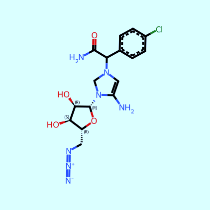 [N-]=[N+]=NC[C@H]1O[C@@H](N2CN(C(C(N)=O)c3ccc(Cl)cc3)C=C2N)[C@H](O)[C@@H]1O